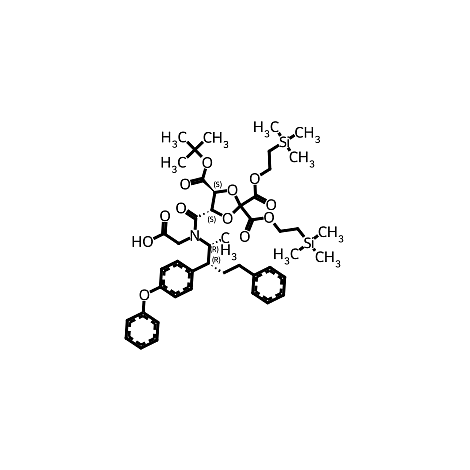 C[C@H]([C@H](CCc1ccccc1)c1ccc(Oc2ccccc2)cc1)N(CC(=O)O)C(=O)[C@H]1OC(C(=O)OCC[Si](C)(C)C)(C(=O)OCC[Si](C)(C)C)O[C@@H]1C(=O)OC(C)(C)C